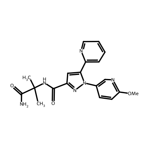 COc1ccc(-n2nc(C(=O)NC(C)(C)C(N)=O)cc2-c2ccccn2)cn1